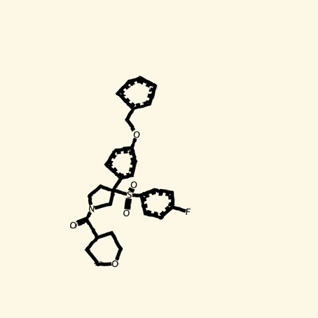 O=C(C1CCOCC1)N1CCC(c2ccc(OCc3ccccc3)cc2)(S(=O)(=O)c2ccc(F)cc2)C1